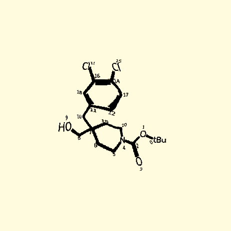 CC(C)(C)OC(=O)N1CCC(CO)(Cc2ccc(Cl)c(Cl)c2)CC1